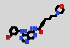 O=C(C#CCCCCN1CCOCC1)Nc1cc2c(Nc3cccc(Br)c3)ncnc2cn1